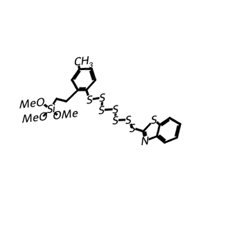 CO[Si](CCc1cc(C)ccc1SSSSSSSc1nc2ccccc2s1)(OC)OC